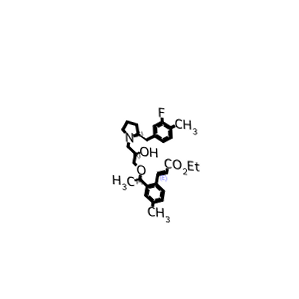 CCOC(=O)/C=C/c1ccc(C)cc1[C@@H](C)OC[C@H](O)CN1CCC[C@H]1Cc1ccc(C)c(F)c1